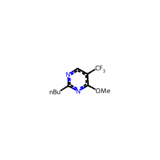 CCCCc1ncc(C(F)(F)F)c(OC)n1